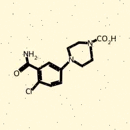 NC(=O)c1cc(N2CCN(C(=O)O)CC2)ccc1Cl